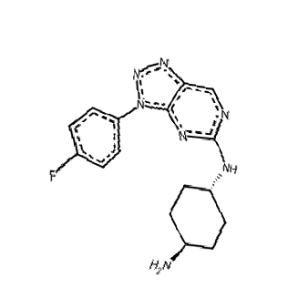 N[C@H]1CC[C@H](Nc2ncc3nnn(-c4ccc(F)cc4)c3n2)CC1